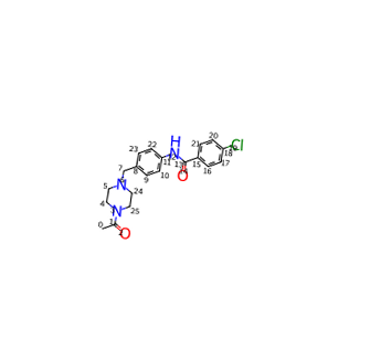 CC(=O)N1CCN(Cc2ccc(NC(=O)c3ccc(Cl)cc3)cc2)CC1